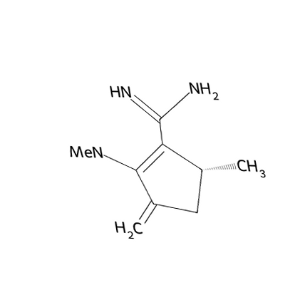 C=C1C[C@@H](C)C(C(=N)N)=C1NC